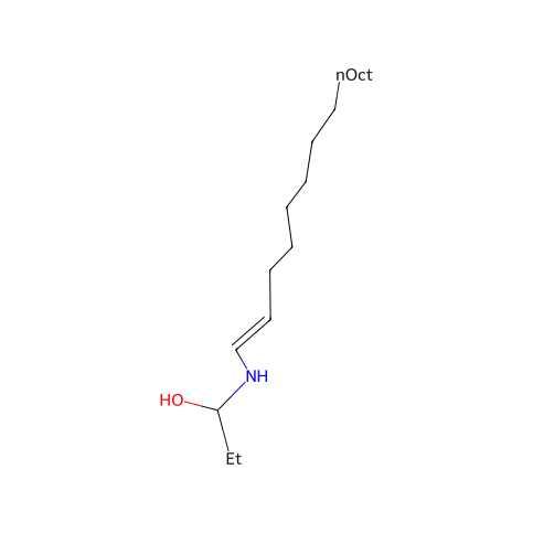 CCCCCCCCCCCCCCC=CNC(O)CC